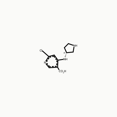 O=C(O)c1cnc(Cl)cc1N[C@@H]1CCNC1